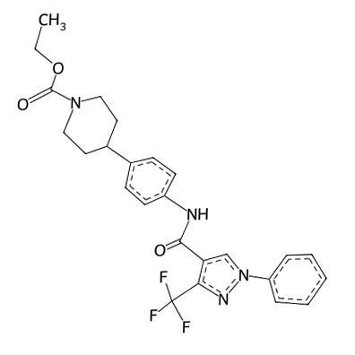 CCOC(=O)N1CCC(c2ccc(NC(=O)c3cn(-c4ccccc4)nc3C(F)(F)F)cc2)CC1